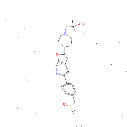 C[S+]([O-])Cc1ccc(-c2cc3c(cn2)OC(C2CCN(CC(C)(C)O)CC2)C3)cc1